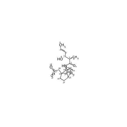 C/C=C/[C@@H](O)[C@@H](C)C(=O)NC1CC2CCC1(C[SH](=O)=O)C2(C)C